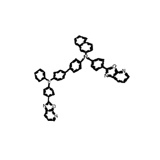 c1ccc(N(c2ccc(-c3ccc(N(c4ccc(-c5nc6cccnc6o5)cc4)c4ccc5ccccc5c4)cc3)cc2)c2ccc(-c3nc4cccnc4o3)cc2)cc1